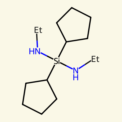 CCN[Si](NCC)(C1CCCC1)C1CCCC1